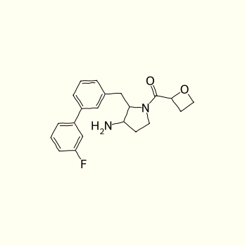 NC1CCN(C(=O)C2CCO2)C1Cc1cccc(-c2cccc(F)c2)c1